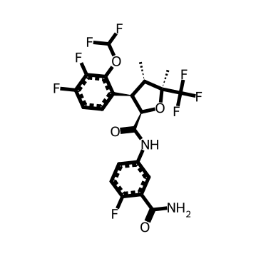 C[C@H]1[C@H](c2ccc(F)c(F)c2OC(F)F)[C@H](C(=O)Nc2ccc(F)c(C(N)=O)c2)O[C@]1(C)C(F)(F)F